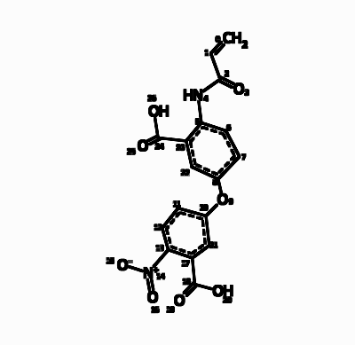 C=CC(=O)Nc1ccc(Oc2ccc([N+](=O)[O-])c(C(=O)O)c2)cc1C(=O)O